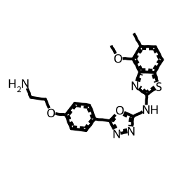 COc1c(C)ccc2sc(Nc3nnc(-c4ccc(OCCN)cc4)o3)nc12